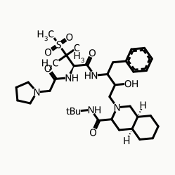 CC(C)(C)NC(=O)C1C[C@@H]2CCCC[C@@H]2CN1CC(O)C(Cc1ccccc1)NC(=O)[C@@H](NC(=O)CN1CCCC1)C(C)(C)S(C)(=O)=O